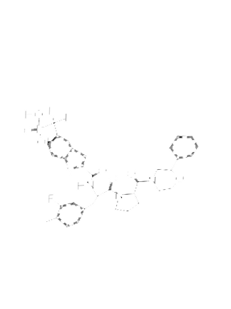 O=C(NC(Cc1ccc(F)c(F)c1)C(=O)N1CCCC1C(=O)N1CCOC(c2ccccc2)C1)c1cc2cc(C(F)(F)P(=O)(O)O)ccc2s1